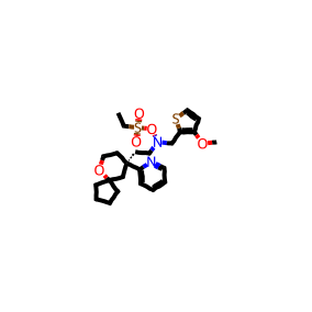 CCS(=O)(=O)ON(CC[C@@]1(c2ccccn2)CCOC2(CCCC2)C1)Cc1sccc1OC